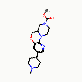 CN1CCC(c2cnc3c(c2)OCC2CN(C(=O)OC(C)(C)C)CCN32)CC1